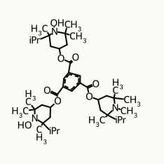 CC(C)C1(C)CC(OC(=O)c2cc(C(=O)OC3CC(C)(C)N(O)C(C)(C(C)C)C3)cc(C(=O)OC3CC(C)(C)N(O)C(C)(C(C)C)C3)c2)CC(C)(C)N1C